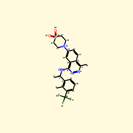 Cc1c(C(C)Nc2nnc(C)c3ccc(N4CCS(=O)(=O)CC4)cc23)cccc1C(F)(F)F